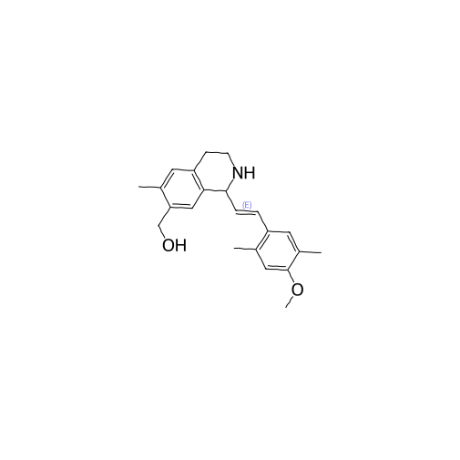 COc1cc(C)c(/C=C/C2NCCc3cc(C)c(CO)cc32)cc1C